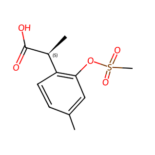 Cc1ccc([C@H](C)C(=O)O)c(OS(C)(=O)=O)c1